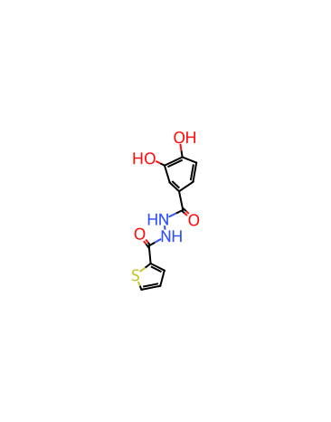 O=C(NNC(=O)c1cccs1)c1ccc(O)c(O)c1